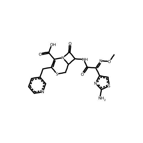 CON=C(C(=O)NC1C(=O)N2C(C(=O)O)=C(Cc3cccnc3)SCC12)c1csc(N)n1